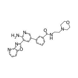 Nc1ncc(-c2cccc(C(=O)NCCN3CCOCC3)c2)cc1-c1nc2ncccc2o1